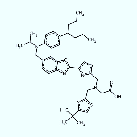 CCCC(CCC)c1ccc(N(Cc2ccc3nc(-c4csc(CN(CC(=O)O)Cc5nc(C(C)(C)C)cs5)n4)oc3c2)C(C)C)cc1